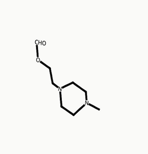 CN1CCN(CCOC=O)CC1